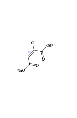 CC(C)COC(=O)/C=C(/Cl)C(=O)OCC(C)C